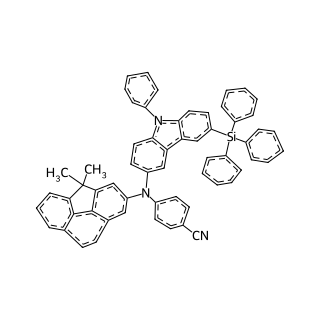 CC1(C)c2cccc3ccc4cc(N(c5ccc(C#N)cc5)c5ccc6c(c5)c5cc([Si](c7ccccc7)(c7ccccc7)c7ccccc7)ccc5n6-c5ccccc5)cc1c4c23